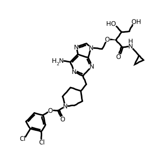 Nc1nc(CC2CCN(C(=O)Oc3ccc(Cl)c(Cl)c3)CC2)nc2c1ncn2CO[C@H](C(=O)NC1CC1)C(O)CO